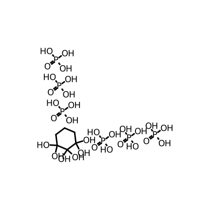 O=P(O)(O)O.O=P(O)(O)O.O=P(O)(O)O.O=P(O)(O)O.O=P(O)(O)O.O=P(O)(O)O.OC1(O)CCCC(O)(O)C1(O)O